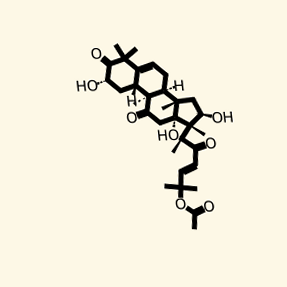 CC(=O)OC(C)(C)/C=C/C(=O)[C@](C)(O)[C@@]1(C)[C@H](O)C[C@@]2(C)[C@@H]3CC=C4[C@@H](C[C@H](O)C(=O)C4(C)C)[C@]3(C)C(=O)C[C@]12C